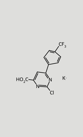 O=C(O)c1cc(-c2ccc(C(F)(F)F)cc2)nc(Cl)n1.[K]